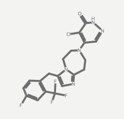 O=c1[nH]ncc(N2CCc3ncc(Cc4ccc(F)cc4C(F)(F)F)n3CC2)c1Cl